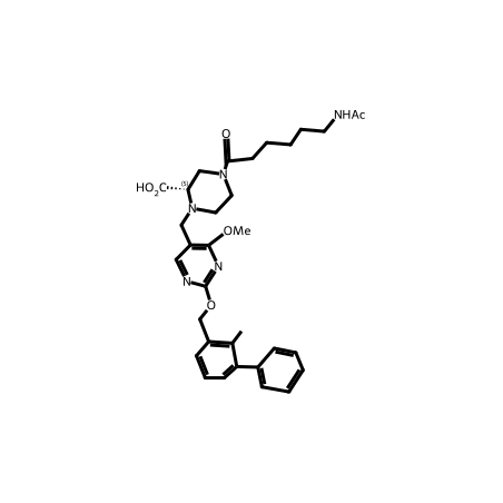 COc1nc(OCc2cccc(-c3ccccc3)c2C)ncc1CN1CCN(C(=O)CCCCCNC(C)=O)C[C@H]1C(=O)O